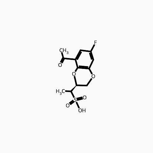 CC(=O)c1cc(F)cc2c1O[C@H](C(C)S(=O)(=O)O)CO2